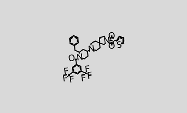 O=C(c1cc(C(F)(F)F)cc(C(F)(F)F)c1)N1CCC(N2CCC3(CC2)CCN(S(=O)(=O)c2cccs2)C3)CC1Cc1ccccc1